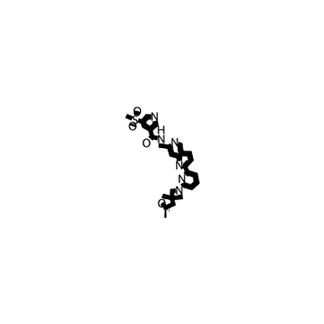 C[C@@H]1CC2(CO1)CN(c1cccc(-c3ccc4cnc(CNC(=O)c5cncc(S(C)(=O)=O)c5)cc4n3)n1)C2